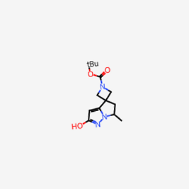 CC1CC2(CN(C(=O)OC(C)(C)C)C2)c2cc(O)nn21